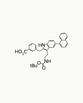 CC(C)(C)OC(=O)NCCc1c(Cc2cccc(C(=O)O)c2)[nH]c2ccc(-c3cccc4ccccc34)cc12